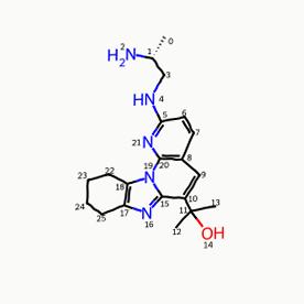 C[C@@H](N)CNc1ccc2cc(C(C)(C)O)c3nc4c(n3c2n1)CCCC4